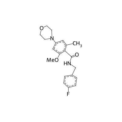 COc1cc(N2CCOCC2)cc(C)c1C(=O)NCc1ccc(F)cc1